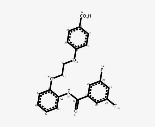 O=C(O)c1ccc(OCCOc2ccccc2NC(=O)c2cc(F)cc(F)c2)cc1